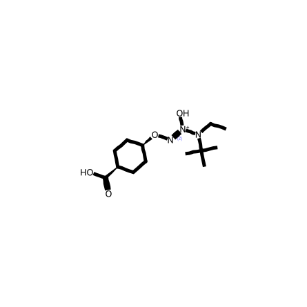 CCN(/[N+](O)=N/O[C@H]1CC[C@@H](C(=O)O)CC1)C(C)(C)C